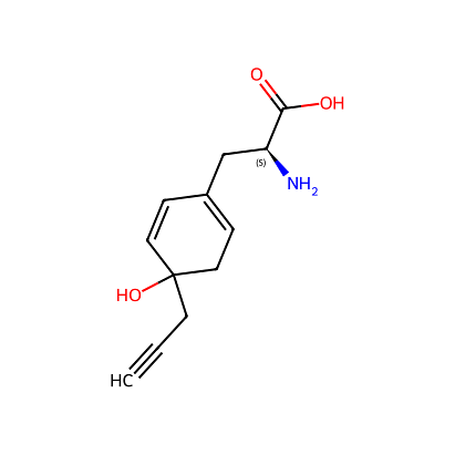 C#CCC1(O)C=CC(C[C@H](N)C(=O)O)=CC1